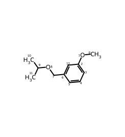 COc1cccc(COC(C)C)c1